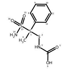 CS(SNC(=O)O)(c1ccccc1)S(N)(=O)=O